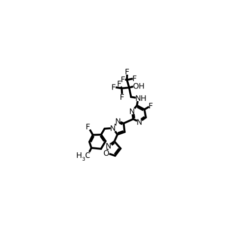 CC1C=C(F)C(Cn2nc(-c3ncc(F)c(NCC(O)(C(F)(F)F)C(F)(F)F)n3)cc2-c2ccon2)=CC1